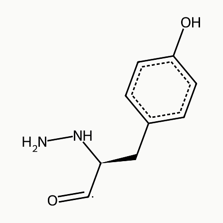 NN[C@H]([C]=O)Cc1ccc(O)cc1